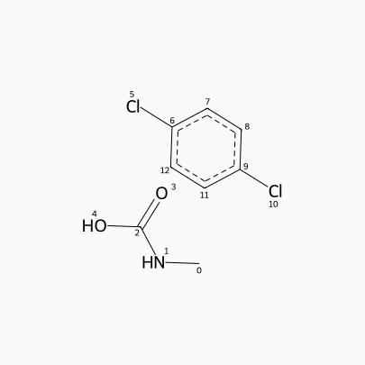 CNC(=O)O.Clc1ccc(Cl)cc1